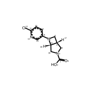 O=C(O)N1C[C@H]2CN(c3ccc(Cl)nc3)[C@H]2C1